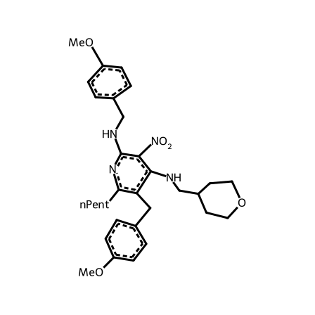 CCCCCc1nc(NCc2ccc(OC)cc2)c([N+](=O)[O-])c(NCC2CCOCC2)c1Cc1ccc(OC)cc1